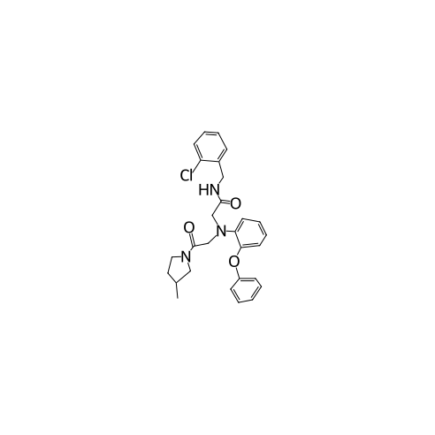 CC1CCN(C(=O)CN(CC(=O)NCc2ccccc2Cl)c2ccccc2Oc2ccccc2)C1